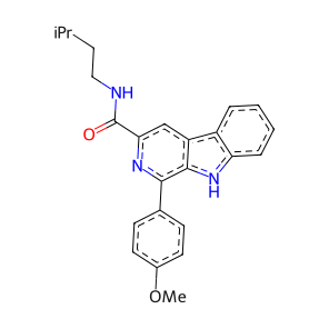 COc1ccc(-c2nc(C(=O)NCCC(C)C)cc3c2[nH]c2ccccc23)cc1